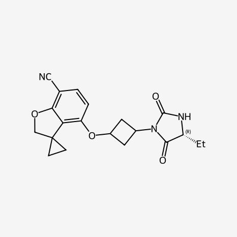 CC[C@H]1NC(=O)N(C2CC(Oc3ccc(C#N)c4c3C3(CC3)CO4)C2)C1=O